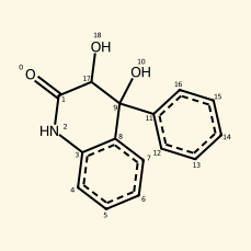 O=C1Nc2ccccc2C(O)(c2ccccc2)C1O